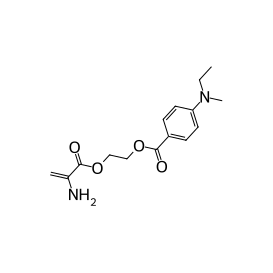 C=C(N)C(=O)OCCOC(=O)c1ccc(N(C)CC)cc1